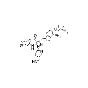 CC(F)(P)COc1ccc2c(c1P)CCC2Cc1nn(-c2ccc(C=N)cn2)c(NC(=O)CS(C)(=O)=O)c1C=O